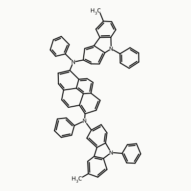 Cc1ccc2c(c1)c1cc(N(c3ccccc3)c3ccc4ccc5c(N(c6ccccc6)c6ccc7c(c6)c6cc(C)ccc6n7-c6ccccc6)ccc6ccc3c4c65)ccc1n2-c1ccccc1